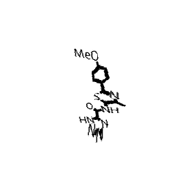 COc1ccc(-c2nc(C)c(NC(=O)c3nnn[nH]3)s2)cc1